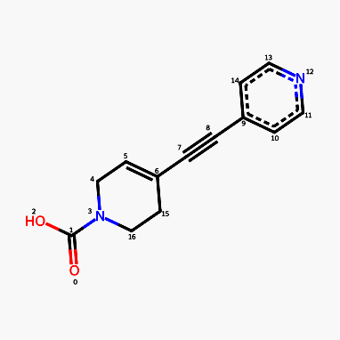 O=C(O)N1CC=C(C#Cc2ccncc2)CC1